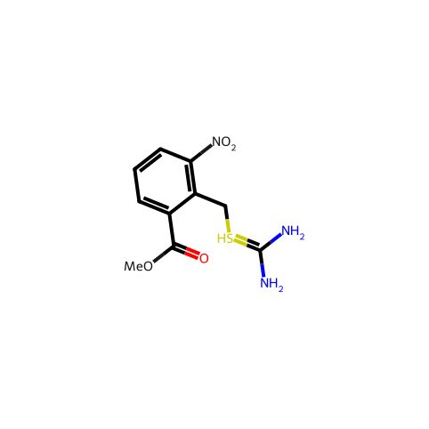 COC(=O)c1cccc([N+](=O)[O-])c1C[SH]=C(N)N